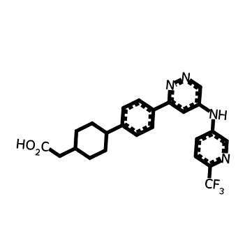 O=C(O)CC1CCC(c2ccc(-c3cc(Nc4ccc(C(F)(F)F)nc4)cnn3)cc2)CC1